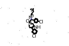 CN(C)CCO/N=C(/C(=O)N1CCc2c([nH]c3ccc(Cl)cc23)C1)c1ccc(Cl)cc1